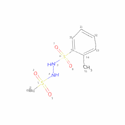 CCCCS(=O)(=O)NNS(=O)(=O)c1ccccc1C